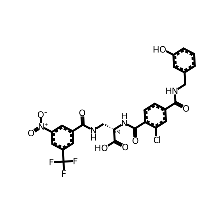 O=C(NCc1cccc(O)c1)c1ccc(C(=O)N[C@@H](CNC(=O)c2cc([N+](=O)[O-])cc(C(F)(F)F)c2)C(=O)O)c(Cl)c1